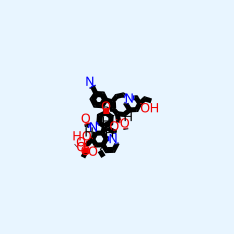 CC[C@]1(O)C[C@H]2CN(CCC3=C(Bc4ccc(C#N)cc43)[C@@](C(=O)OC)(C3C=C4C(=CC3OC)N(C=O)[C@H]3[C@@](O)(C(=O)OC)[C@H](OC(C)=O)[C@]5(CC)C=CCN6CC[C@]43[C@@H]65)C2)C1